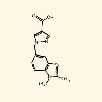 Cc1nc2cc(Cn3cc(C(=O)O)cn3)ccc2n1C